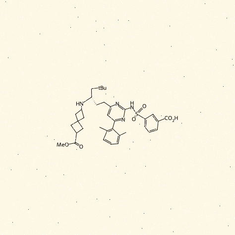 COC(=O)C1CC2(CC(N[C@@H](CCc3cc(-c4c(C)cccc4C)nc(NS(=O)(=O)c4cccc(C(=O)O)c4)n3)CC(C)(C)C)C2)C1